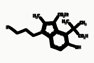 CCOC(=O)c1c(C)n(CCCC(C)C)c2ccc(O)c(C(C)(C)C(=O)O)c12